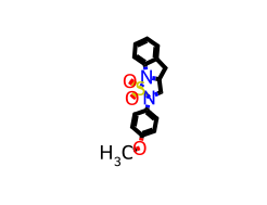 COc1ccc(N2CC3Cc4ccccc4N3S2(=O)=O)cc1